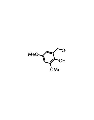 COc1cc(C[O])c(O)c(OC)c1